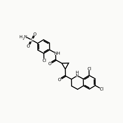 NS(=O)(=O)c1ccc(NC(=O)C2CC2C(=O)C2CCc3cc(Cl)cc(Cl)c3N2)c(Cl)c1